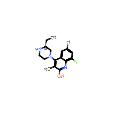 N#CC[C@H]1CN(c2c(C#N)c(O)nc3c(F)cc(Cl)cc23)CCN1